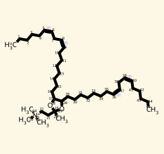 CCCCC/C=C\C/C=C\CCCCCCCC1OC(C)(CC[N+](C)(C)C)OC1CCCCCCC/C=C\C/C=C\CCCCC